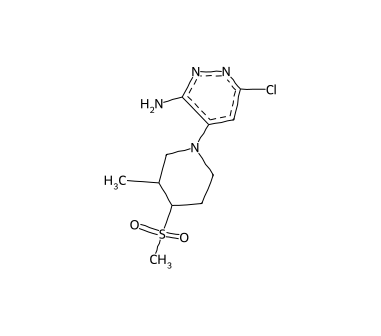 CC1CN(c2cc(Cl)nnc2N)CCC1S(C)(=O)=O